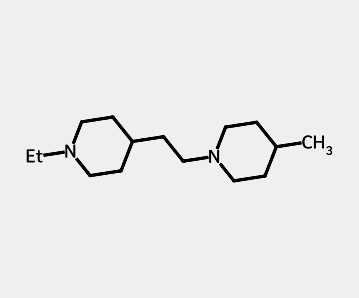 CCN1CCC(CCN2CCC(C)CC2)CC1